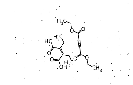 CC/C(C(=O)O)=C(\CC)C(=O)O.CCOC(=O)C#CC(=O)OCC